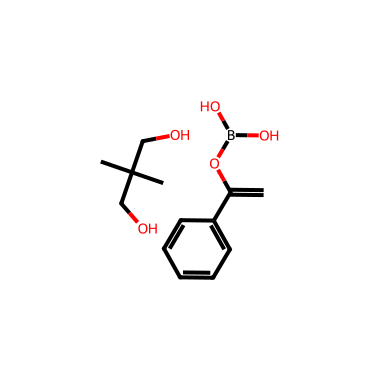 C=C(OB(O)O)c1ccccc1.CC(C)(CO)CO